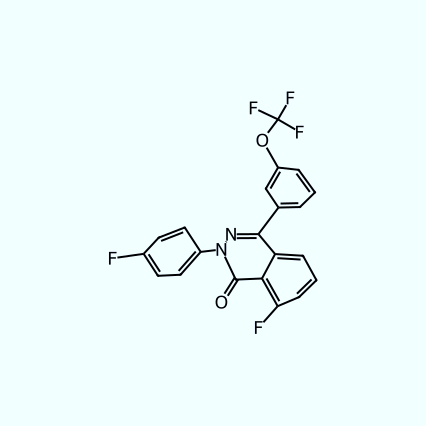 O=c1c2c(F)cccc2c(-c2cccc(OC(F)(F)F)c2)nn1-c1ccc(F)cc1